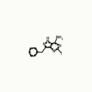 Nc1nc(I)nc2c(Cc3ccccc3)n[nH]c12